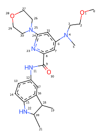 COCCN(C)c1cc(C(=O)Nc2ccc3c(c2)C(C)C(C)N3)nc(N2CCOCC2)c1